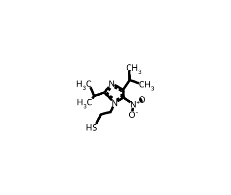 CC(C)c1nc(C(C)C)n(CCS)c1[N+](=O)[O-]